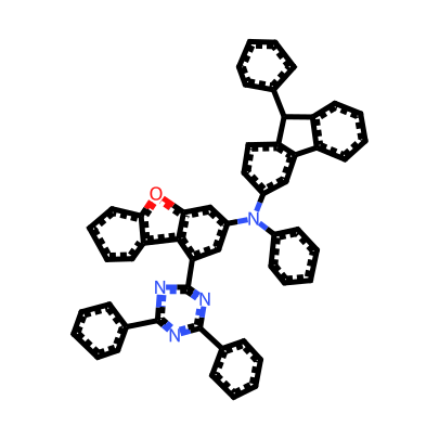 c1ccc(-c2nc(-c3ccccc3)nc(-c3cc(N(c4ccccc4)c4ccc5c(c4)-c4ccccc4C5c4ccccc4)cc4oc5ccccc5c34)n2)cc1